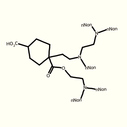 CCCCCCCCCN(CCCCCCCCC)CCOC(=O)C1(CCN(CCCCCCCCC)CCN(CCCCCCCCC)CCCCCCCCC)CCC(C(=O)O)CC1